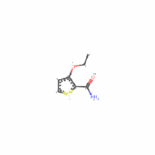 CCOc1ccsc1C(N)=O